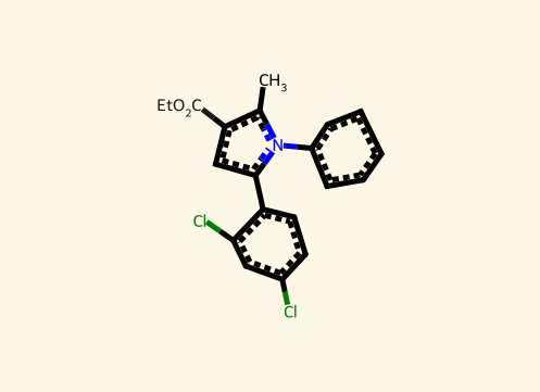 CCOC(=O)c1cc(-c2ccc(Cl)cc2Cl)n(-c2ccccc2)c1C